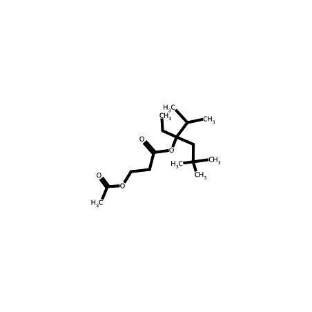 CCC(CC(C)(C)C)(OC(=O)CCOC(C)=O)C(C)C